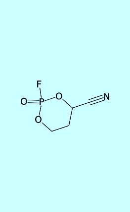 N#CC1CCOP(=O)(F)O1